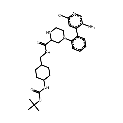 CC(C)(C)OC(=O)NC1CCC(CNC(=O)C2CN(c3ccccc3-c3cc(Cl)nnc3N)CCN2)CC1